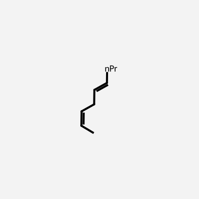 C/C=C\C/C=C/CCC